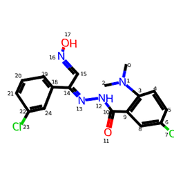 CN(C)c1ccc(Cl)cc1C(=O)NN=C(C=NO)c1cccc(Cl)c1